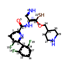 N=C/C(NC(=O)c1ccc(F)c(-c2c(F)cccc2F)n1)=C(\S)OCC1CCNCC1